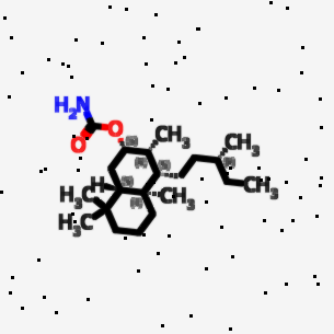 CC[C@@H](C)CC[C@H]1[C@@H](C)[C@@H](OC(N)=O)C[C@H]2C(C)(C)CCC[C@]12C